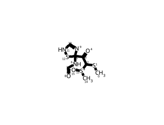 CSC(C(=O)C1(NC=O)N=CNS1)[S+](C)[O-]